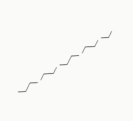 CCOCCOCCOCCOCC[O]